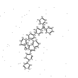 c1ccc(-c2ccc(-c3cc4ccccc4c4c3oc3cccc(-c5ccc(-c6ccc(N(c7ccccc7)c7ccccc7)cc6)cc5)c34)cc2)cc1